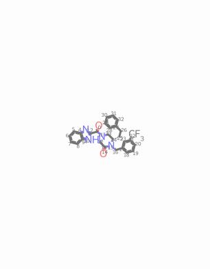 O=C(c1nc2ccccc2[nH]1)N1CC(=O)N(Cc2cccc(C(F)(F)F)c2)[C@@H](CCc2ccccc2)C1